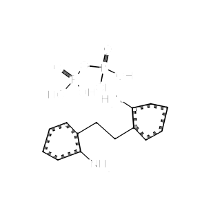 Nc1ccccc1CCc1ccccc1N.O=P(O)(O)OP(=O)(O)O